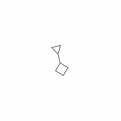 [CH]1CCC1C1CC1